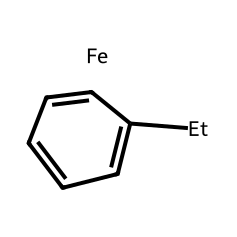 CCc1ccccc1.[Fe]